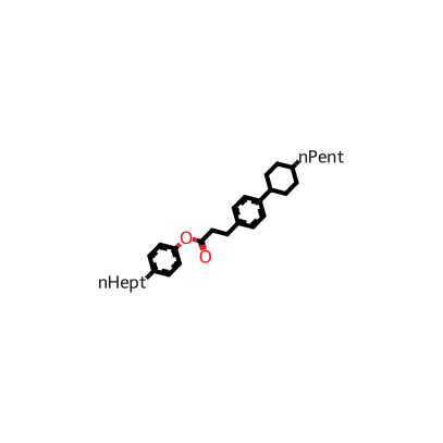 CCCCCCCc1ccc(OC(=O)CCc2ccc(C3CCC(CCCCC)CC3)cc2)cc1